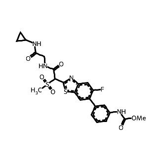 COC(=O)Nc1cccc(-c2cc3sc(C(C(=O)NCC(=O)NC4CC4)S(C)(=O)=O)nc3cc2F)c1